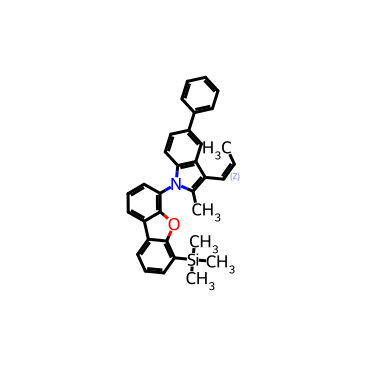 C/C=C\c1c(C)n(-c2cccc3c2oc2c([Si](C)(C)C)cccc23)c2ccc(-c3ccccc3)cc12